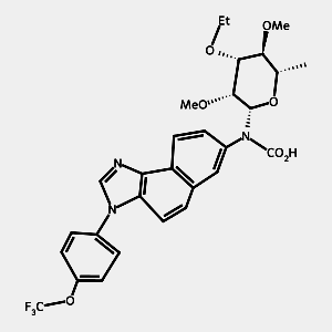 CCO[C@@H]1[C@@H](OC)[C@H](C)O[C@H](N(C(=O)O)c2ccc3c(ccc4c3ncn4-c3ccc(OC(F)(F)F)cc3)c2)[C@@H]1OC